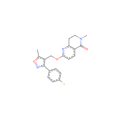 Cc1onc(-c2ccc(F)cc2)c1COc1ccc2c(n1)CCN(C)C2=O